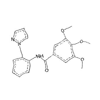 COc1cc(C(=O)Nc2ccccc2-n2cccn2)cc(OC)c1OC